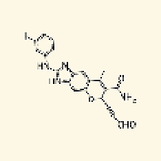 CC1=C(C(N)=O)C(C#CC=O)Oc2cc3[nH]c(Nc4cccc(I)c4)nc3cc21